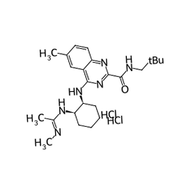 C/N=C(\C)N[C@@H]1CCCC[C@@H]1Nc1nc(C(=O)NCC(C)(C)C)nc2ccc(C)cc12.Cl.Cl